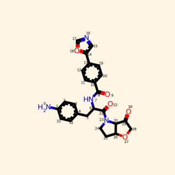 Nc1ccc(CC(NC(=O)c2ccc(-c3cnco3)cc2)C(=O)N2CCC3OCC(=O)C32)cc1